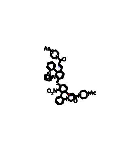 CC(=O)N1CCN(C(=O)/C=C/c2ccc(Sc3ccc(/C=C/C(=O)N4CCN(C(C)=O)CC4)c(-c4ccccc4N4CCCC4)c3[N+](=O)[O-])c([N+](=O)[O-])c2-c2ccccc2N2CCCC2)CC1